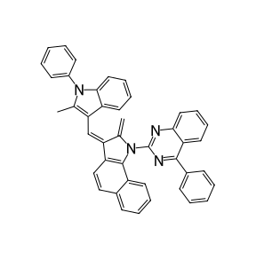 C=c1/c(=C\c2c(C)n(-c3ccccc3)c3ccccc23)c2ccc3ccccc3c2n1-c1nc(-c2ccccc2)c2ccccc2n1